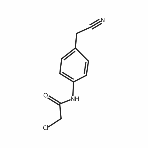 N#CCc1ccc(NC(=O)CCl)cc1